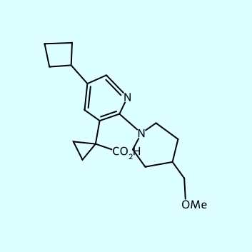 COCC1CCN(c2ncc(C3CCC3)cc2C2(C(=O)O)CC2)CC1